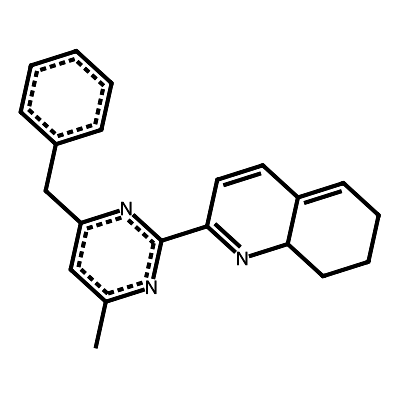 Cc1cc(Cc2ccccc2)nc(C2=NC3CCCC=C3C=C2)n1